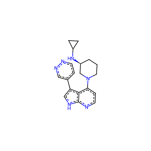 c1cc(-c2c[nH]c3nccc(N4CCC[C@H](NC5CC5)C4)c23)cnn1